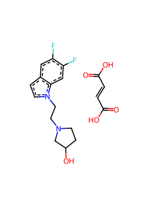 O=C(O)/C=C/C(=O)O.OC1CCN(CCn2ccc3cc(F)c(F)cc32)C1